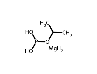 CC(C)OP(O)O.[MgH2]